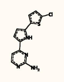 Nc1nccc(-c2ccc(-c3ccc(Cl)s3)[nH]2)n1